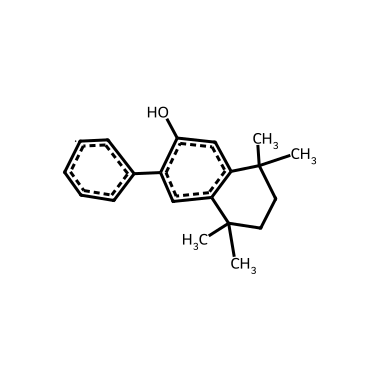 CC1(C)CCC(C)(C)c2cc(-c3c[c]ccc3)c(O)cc21